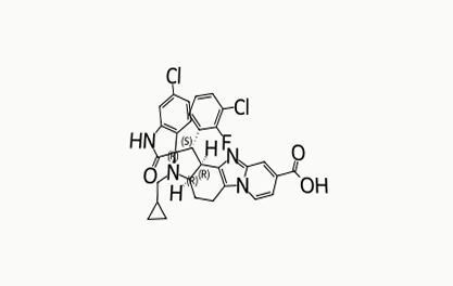 O=C(O)c1ccn2c3c(nc2c1)[C@H]1[C@@H](CC3)N(CC2CC2)[C@]2(C(=O)Nc3cc(Cl)ccc32)[C@@H]1c1cccc(Cl)c1F